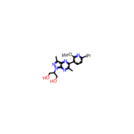 COc1nc(C(C)C)ccc1-c1nc2c(C)nn(C(CO)CO)c2nc1C